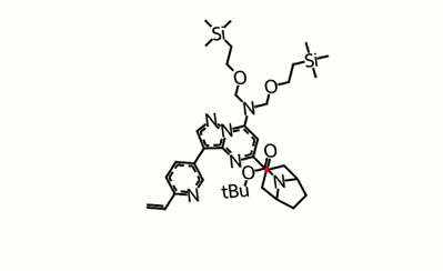 C=Cc1ccc(-c2cnn3c(N(COCC[Si](C)(C)C)COCC[Si](C)(C)C)cc(C4CC5CCC(C4)N5C(=O)OC(C)(C)C)nc23)cn1